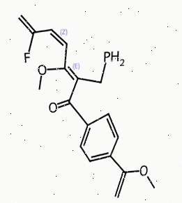 C=C(F)/C=C\C(OC)=C(/CP)C(=O)c1ccc(C(=C)OC)cc1